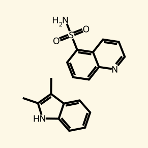 Cc1[nH]c2ccccc2c1C.NS(=O)(=O)c1cccc2ncccc12